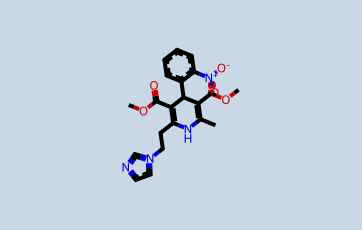 COC(=O)C1=C(C)NC(CCn2ccnc2)=C(C(=O)OC)C1c1ccccc1[N+](=O)[O-]